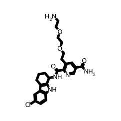 NCCOCCOCCc1cc(C(N)=O)cnc1C(=O)NC1CCCc2c1[nH]c1ccc(Cl)cc21